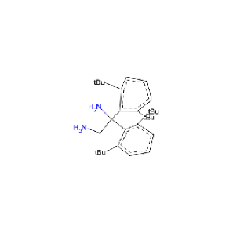 CC(C)(C)c1cccc(C(C)(C)C)c1C(N)(CN)c1c(C(C)(C)C)cccc1C(C)(C)C